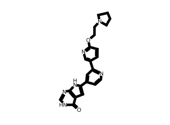 O=c1[nH]cnc2[nH]c(-c3ccnc(-c4ccc(OCCN5CCCC5)nc4)c3)cc12